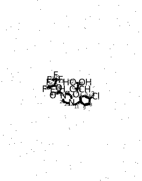 CC(C)(Oc1cc(Cl)ccc1CN1CCN(C(=O)OC(C(F)(F)F)C(F)(F)F)CC1)C(O)O